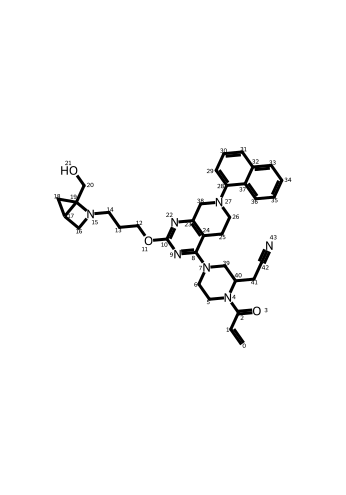 C=CC(=O)N1CCN(c2nc(OCCCN3CC4CC43CO)nc3c2CCN(c2cccc4ccccc24)C3)CC1CC#N